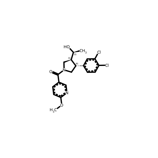 COc1ccc(C(=O)N2C[C@@H]([C@H](C)O)[C@H](c3ccc(Cl)c(Cl)c3)C2)cn1